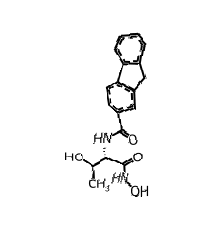 C[C@@H](O)[C@H](NC(=O)c1ccc2c(c1)Cc1ccccc1-2)C(=O)NO